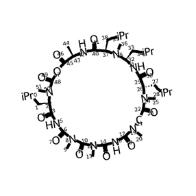 CC(C)C[C@@H]1C(=O)NC(=O)N(C)C(=O)N(C)C(=O)NC(=O)N(C)CC(=O)N(C)[C@@H](CC(C)C)C(=O)N[C@H](CC(C)C)N(C)[C@H](CC(C)C)C(=O)N[C@H](C)C(=O)OC(=O)N1C